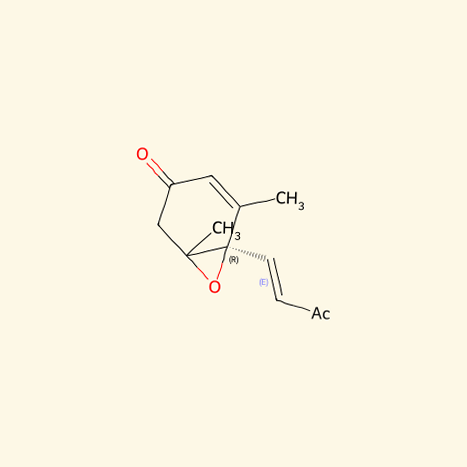 CC(=O)/C=C/[C@]12OC1(C)CC(=O)C=C2C